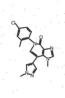 Cc1cc(Cl)ccc1-n1cc(-c2cnn(C)c2)c2c(ncn2C)c1=O